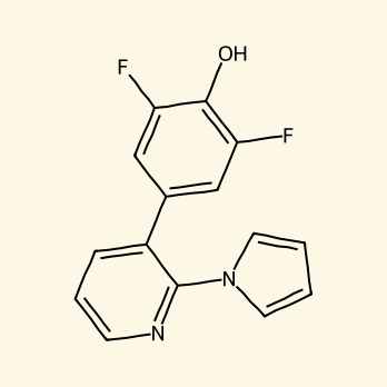 Oc1c(F)cc(-c2cccnc2-n2cccc2)cc1F